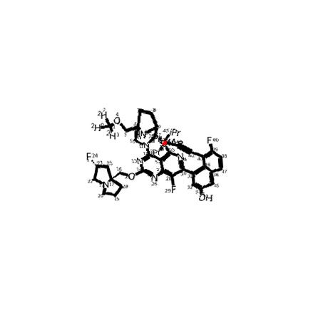 [2H]C([2H])([2H])OCC12CCC(CN(c3nc(OC[C@@]45CCCN4C[C@H](F)C5)nc4c(F)c(-c5cc(O)cc6ccc(F)c(C#C[Si](C(C)C)(C(C)C)C(C)C)c56)nc(OC)c34)C1)N2